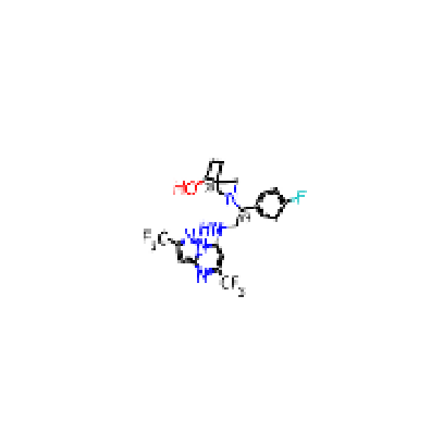 O[C@H]1CCC12CN([C@H](CNc1cc(C(F)(F)F)nc3cc(C(F)(F)F)nn13)c1ccc(F)cc1)C2